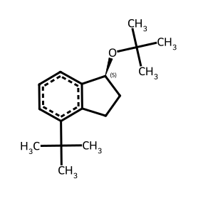 CC(C)(C)O[C@H]1CCc2c1cccc2C(C)(C)C